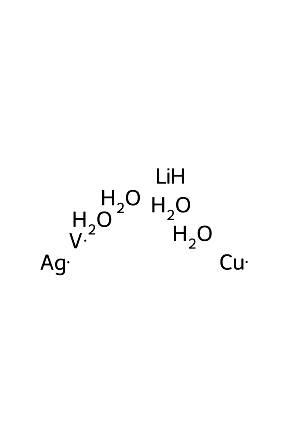 O.O.O.O.[Ag].[Cu].[LiH].[V]